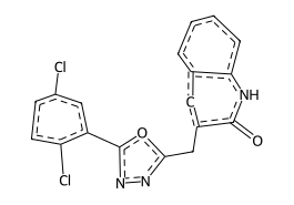 O=c1[nH]c2ccccc2cc1Cc1nnc(-c2cc(Cl)ccc2Cl)o1